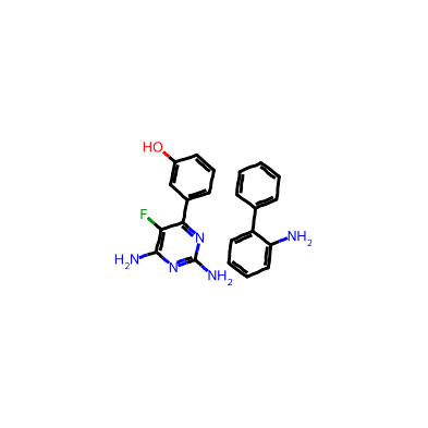 Nc1ccccc1-c1ccccc1.Nc1nc(N)c(F)c(-c2cccc(O)c2)n1